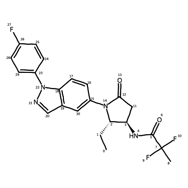 CC[C@H]1[C@H](NC(=O)C(C)(F)F)CC(=O)N1c1ccc2c(cnn2-c2ccc(F)cc2)c1